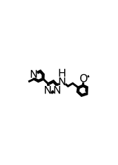 COc1ccccc1CCNc1cc(-c2ccnc(C)c2)ncn1